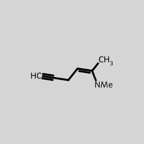 C#CC/C=C(/C)NC